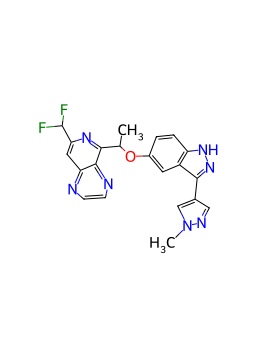 CC(Oc1ccc2[nH]nc(-c3cnn(C)c3)c2c1)c1nc(C(F)F)cc2nccnc12